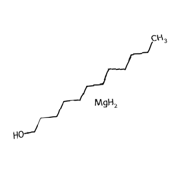 CCCCCCCCCCCCO.[MgH2]